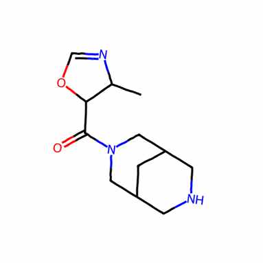 CC1N=COC1C(=O)N1CC2CNCC(C2)C1